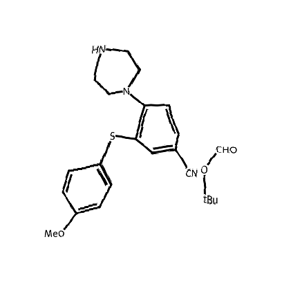 CC(C)(C)OC=O.COc1ccc(Sc2cc(C#N)ccc2N2CCNCC2)cc1